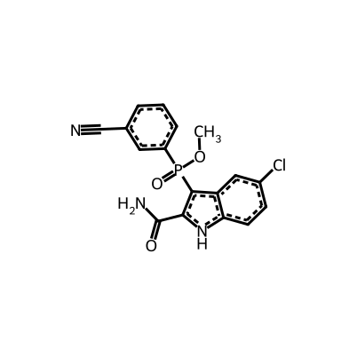 COP(=O)(c1cccc(C#N)c1)c1c(C(N)=O)[nH]c2ccc(Cl)cc12